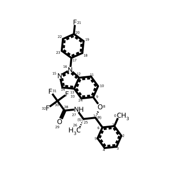 Cc1ccccc1[C@@H](Oc1ccc2c(cnn2-c2ccc(F)cc2)c1)[C@H](C)NC(=O)C(F)(F)F